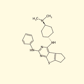 CN(C)[C@H]1CC[C@H](Nc2nc(Nc3ccccc3)nc3sc4c(c23)CCC4)CC1